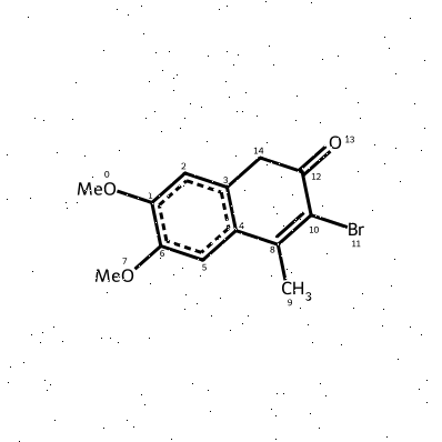 COc1cc2c(cc1OC)C(C)=C(Br)C(=O)C2